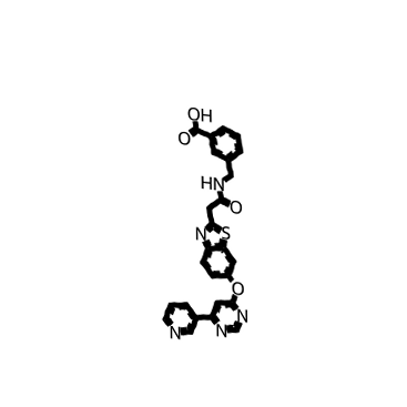 O=C(Cc1nc2ccc(Oc3cc(-c4cccnc4)ncn3)cc2s1)NCc1cccc(C(=O)O)c1